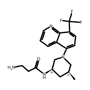 C[C@H]1C[C@@H](NC(=O)CCN)CN(c2ccc(C(F)(F)F)c3ncccc23)C1